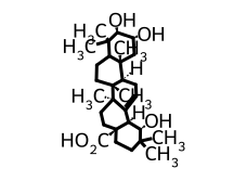 CC1(C)CC[C@]2(C(=O)O)CC[C@]3(C)C(=CC[C@@H]4[C@@]5(C)C[C@@H](O)[C@H](O)C(C)(C)C5CC[C@]43C)[C@H]2[C@@H]1O